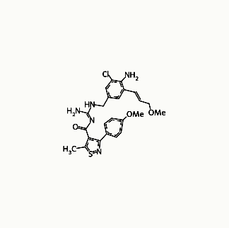 COCC=Cc1cc(CNC(N)=NC(=O)c2c(-c3ccc(OC)cc3)nsc2C)cc(Cl)c1N